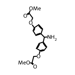 COC(=O)COc1ccc(C(N)c2ccc(OCC(=O)OC)cc2)cc1